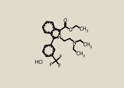 CCOC(=O)c1c2ccccc2c(-c2cccc(C(F)(F)F)c2)n1CCN(CC)CC.Cl